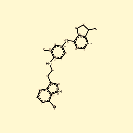 CCc1cccc2c(CCNc3ccc(Nc4ccnc5c4CCC5C)cc3C)c[nH]c12